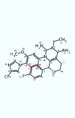 CCN1C(N)C2=C(C(c3ccc(F)cc3)OCC2)N(c2ccc(-n3cnc(Cl)c3)c(OC)c2)C1N